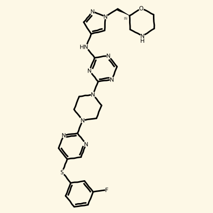 Fc1cccc(Sc2cnc(N3CCN(c4ncnc(Nc5cnn(C[C@@H]6CNCCO6)c5)n4)CC3)nc2)c1